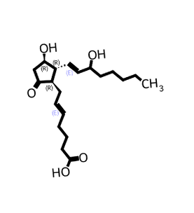 CCCCCC(O)/C=C/[C@H]1[C@H](O)CC(=O)[C@@H]1C/C=C/CCCC(=O)O